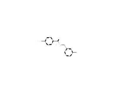 CC(C)(C)c1ccc(C(=O)NCc2cccc(F)c2)cc1